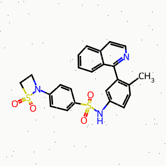 Cc1ccc(NS(=O)(=O)c2ccc(N3CCS3(=O)=O)cc2)cc1-c1nccc2ccccc12